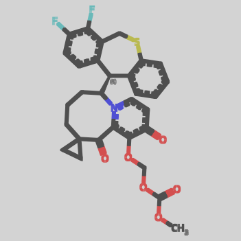 COC(=O)OCOc1c2n(ccc1=O)C([C@@H]1c3ccccc3SCc3c1ccc(F)c3F)CCCC1(CC1)C2=O